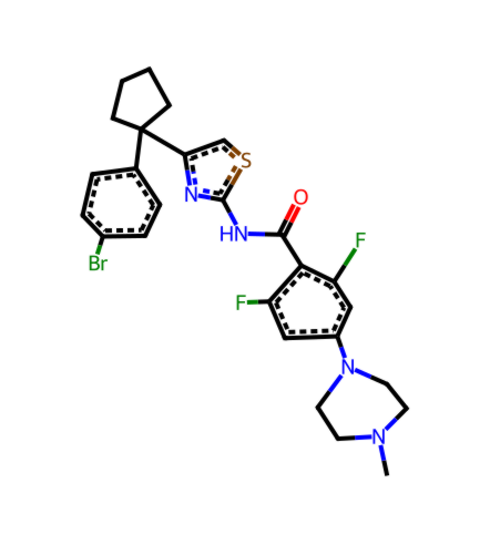 CN1CCN(c2cc(F)c(C(=O)Nc3nc(C4(c5ccc(Br)cc5)CCCC4)cs3)c(F)c2)CC1